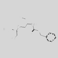 CC(C)(C)C[C@@H](CN[C@@H](CC(C)(C)C)C(=O)O)NC(=O)OCc1ccccc1